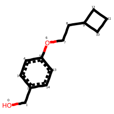 OCc1ccc(OCCC2CCC2)cc1